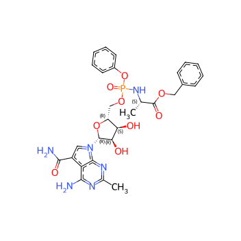 Cc1nc(N)c2c(C(N)=O)cn([C@@H]3O[C@H](COP(=O)(N[C@@H](C)C(=O)OCc4ccccc4)Oc4ccccc4)[C@@H](O)[C@H]3O)c2n1